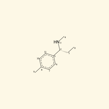 CC[C@@H](NC)c1ccc(C)cc1